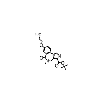 CN1Cc2c(C(=O)OC(C)(C)C)ncn2-c2ccc(OCC[18F])cc2C1=O